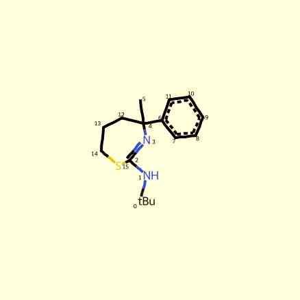 CC(C)(C)NC1=NC(C)(c2ccccc2)CCCS1